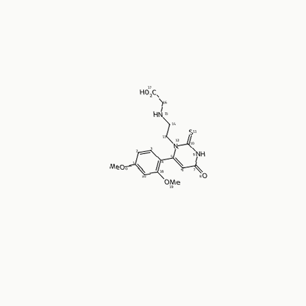 COc1ccc(-c2cc(=O)[nH]c(=S)n2CCNCC(=O)O)c(OC)c1